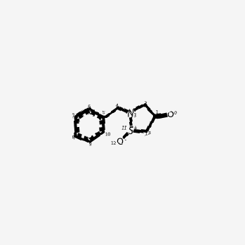 O=C1CN(Cc2ccccc2)[S+]([O-])C1